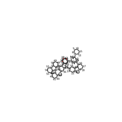 c1ccc(-c2nc(-c3ccccc3)nc(-c3cccc4oc5ccc(-n6c7ccccc7c7cc8c(cc76)Oc6ccccc6C86c7ccccc7-c7ccccc76)cc5c34)n2)cc1